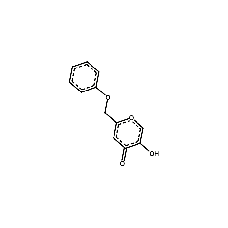 O=c1cc(COc2ccccc2)occ1O